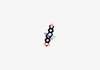 C[N+]1(C)[C@H]2Cc3cc4c(cc3[C@@H]1Cc1cc3c(cc12)COC3)OCO4.[Cl-]